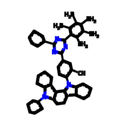 Bc1c(B)c(B)c(-c2nc(-c3ccccc3)nc(-c3ccc(-n4c5ccccc5c5ccc6c(c7ccccc7n6-c6ccccc6)c54)c(C#N)c3)n2)c(B)c1B